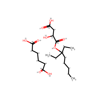 CCCCCC(CC)(CC)OC(=O)C(O)CC(=O)O.O=C(O)CCCCC(=O)O